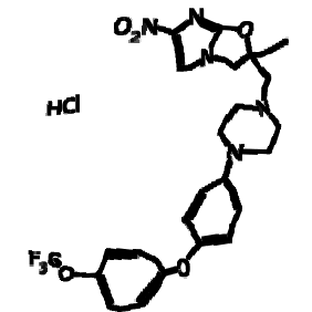 CC1(CN2CCN(c3ccc(Oc4ccc(OC(F)(F)F)cc4)cc3)CC2)Cn2cc([N+](=O)[O-])nc2O1.Cl